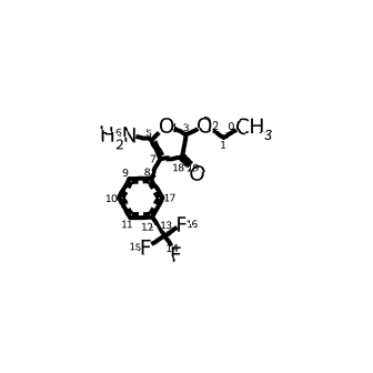 CCOC1OC(N)=C(c2cccc(C(F)(F)F)c2)C1=O